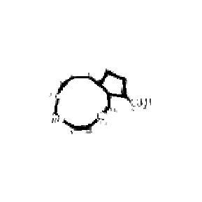 O=C(O)C1CCC2CCCCCCCCCCC21